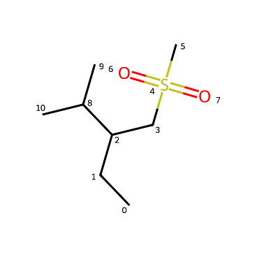 CCC(CS(C)(=O)=O)C(C)C